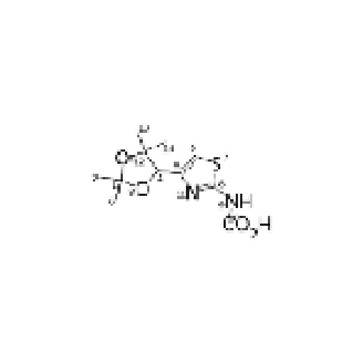 CC1(C)OC(c2csc(NC(=O)O)n2)C(C)(C)O1